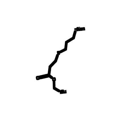 CCCCCCCCCCCCSCCC(=O)OCC(C)(C)C